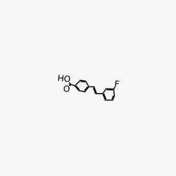 O=C(O)c1ccc(/C=C/c2cccc(F)c2)cc1